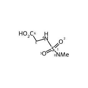 CNS(=O)(=O)NCC(=O)O